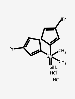 CC(C)C1=CC[C]([Zr]([CH3])([CH3])(=[SiH2])[C]2=CC(C(C)C)=CC2)=C1.Cl.Cl